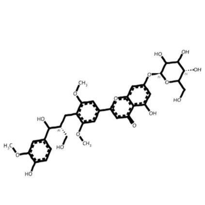 COc1cc(C(O)[C@@H](CO)Cc2c(OC)cc(-c3cc(=O)c4c(O)cc(O[C@@H]5OC(CO)[C@@H](O)C(O)C5O)cc4o3)cc2OC)ccc1O